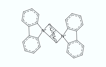 C1=C2C3=C(C(=C1)[N+]31c3ccccc3-c3ccccc31)[N+]21c2ccccc2-c2ccccc21